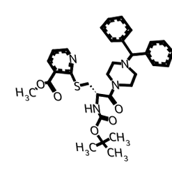 COC(=O)c1cccnc1SC[C@@H](NC(=O)OC(C)(C)C)C(=O)N1CCN(C(c2ccccc2)c2ccccc2)CC1